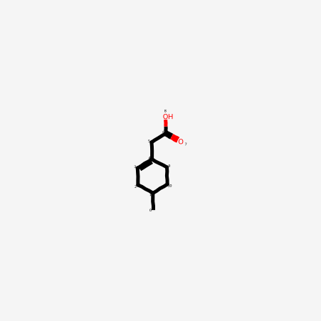 CC1CC=C(CC(=O)O)CC1